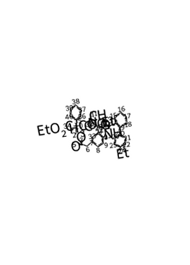 CCOC(=O)C(COC(=O)Cc1ccc(NC(=O)c2ccccc2-c2ccc(CC)cc2)c(C(=O)N(C)C)c1)(C(=O)OCC)c1ccccc1